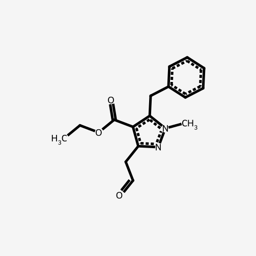 CCOC(=O)c1c(CC=O)nn(C)c1Cc1ccccc1